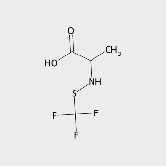 CC(NSC(F)(F)F)C(=O)O